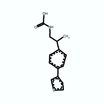 CC(CNC(=O)O)c1ccc(-c2ccsc2)cc1